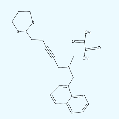 CN(CC#CCCC1SCCCS1)Cc1cccc2ccccc12.O=C(O)C(=O)O